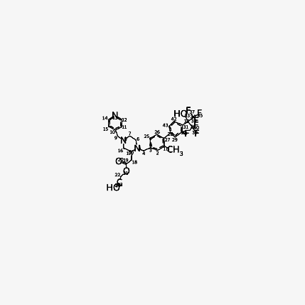 Cc1cc(CN2CCN(Cc3ccncc3)C[C@@H]2CC(=O)OCCO)ccc1-c1ccc(C(O)(C(F)(F)F)C(F)(F)F)cc1